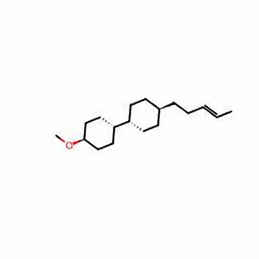 C/C=C/CC[C@H]1CC[C@H]([C@H]2CC[C@H](OC)CC2)CC1